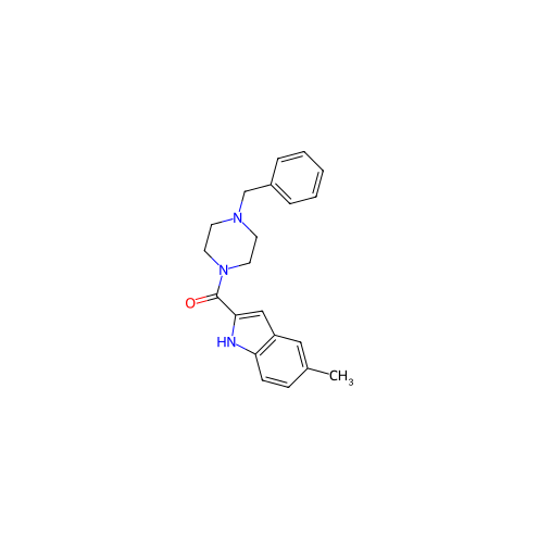 Cc1ccc2[nH]c(C(=O)N3CCN(Cc4ccccc4)CC3)cc2c1